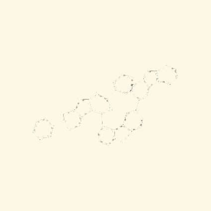 c1ccc(-c2ccc3c(c2)oc2nc(-c4ccccc4)nc(-c4cccc5oc6ccc(-c7ccc8oc9ccccc9c8c7)cc6c45)c23)cc1